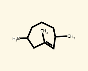 BC1CCCC(C)/C=C(\C)C1